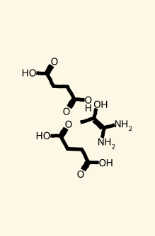 CC(O)=C(N)N.O=C(O)CCC(=O)O.O=C(O)CCC(=O)O